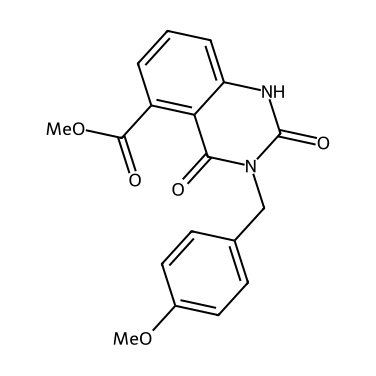 COC(=O)c1cccc2[nH]c(=O)n(Cc3ccc(OC)cc3)c(=O)c12